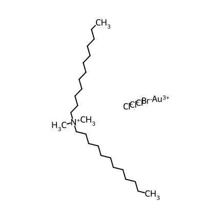 CCCCCCCCCCCC[N+](C)(C)CCCCCCCCCCCC.[Au+3].[Br-].[Cl-].[Cl-].[Cl-]